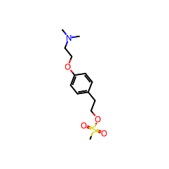 CN(C)CCOc1ccc(CCOS(C)(=O)=O)cc1